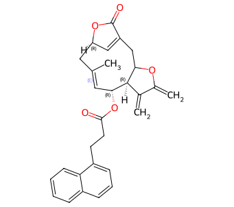 C=C1OC2CC3=C[C@@H](C/C(C)=C/[C@@H](OC(=O)CCc4cccc5ccccc45)[C@@H]2C1=C)OC3=O